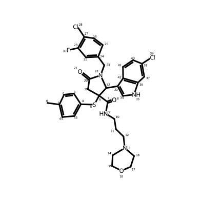 Cc1ccc(SC2(C(=O)NCCCN3CCOCC3)CC(=O)N(Cc3ccc(Cl)c(F)c3)C2c2c[nH]c3cc(Cl)ccc23)cc1